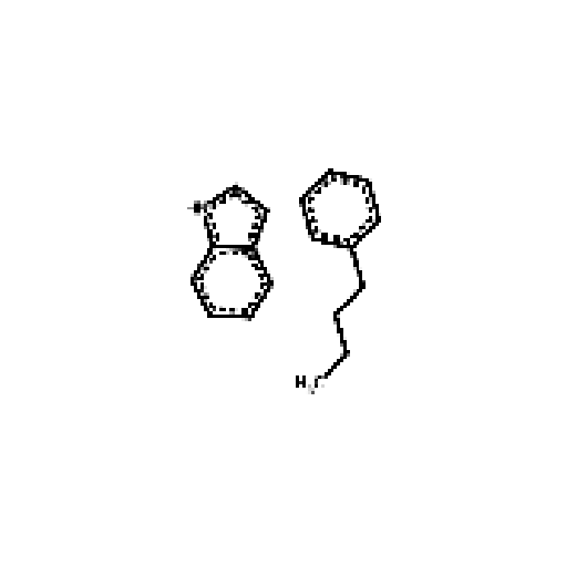 CCCCc1ccccc1.c1ccc2[nH]ccc2c1